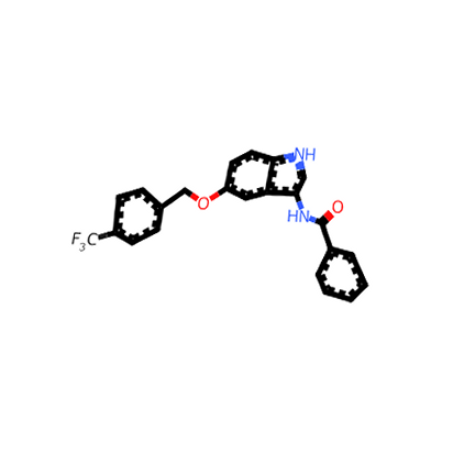 O=C(Nc1c[nH]c2ccc(OCc3ccc(C(F)(F)F)cc3)cc12)c1ccccc1